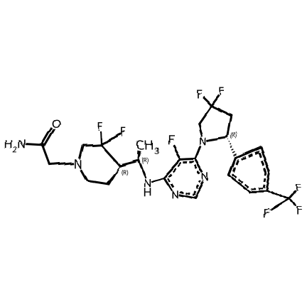 C[C@@H](Nc1ncnc(N2CC(F)(F)C[C@@H]2c2ccc(C(F)(F)F)cc2)c1F)[C@H]1CCN(CC(N)=O)CC1(F)F